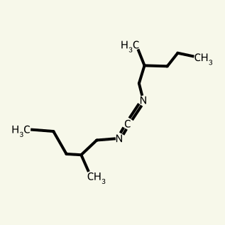 CCCC(C)CN=C=NCC(C)CCC